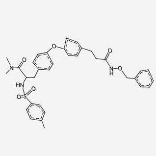 Cc1ccc(S(=O)(=O)NC(Cc2ccc(Oc3ccc(CCC(=O)NOCc4ccccc4)cc3)cc2)C(=O)N(C)C)cc1